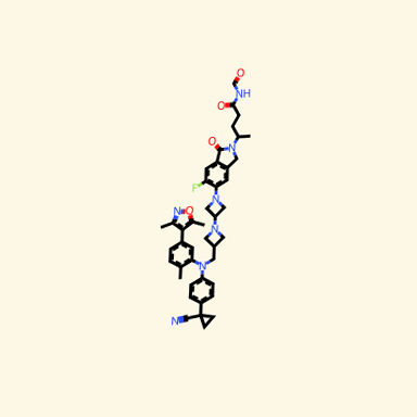 Cc1ccc(-c2c(C)noc2C)cc1N(CC1CN(C2CN(c3cc4c(cc3F)C(=O)N(C(C)CCC(=O)NC=O)C4)C2)C1)c1ccc(C2(C#N)CC2)cc1